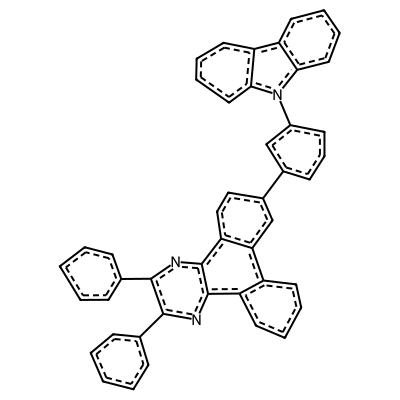 c1ccc(-c2nc3c4ccccc4c4cc(-c5cccc(-n6c7ccccc7c7ccccc76)c5)ccc4c3nc2-c2ccccc2)cc1